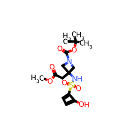 COC(=O)CC1(NS(=O)(=O)C2=CC=C2O)CN(C(=O)OC(C)(C)C)C1